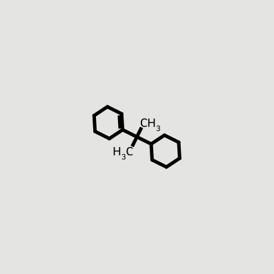 CC(C)(C1=CCCCC1)C1CCCCC1